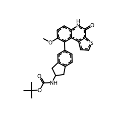 COc1ccc2[nH]c(=O)c3sccc3c2c1-c1ccc2c(c1)CC(NC(=O)OC(C)(C)C)C2